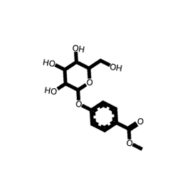 COC(=O)c1ccc(OC2OC(CO)C(O)C(O)C2O)cc1